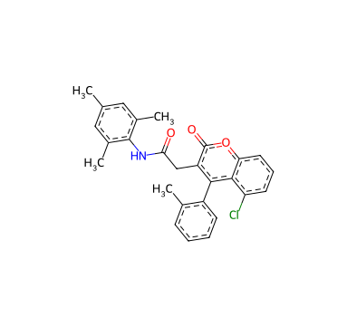 Cc1cc(C)c(NC(=O)Cc2c(-c3ccccc3C)c3c(Cl)cccc3oc2=O)c(C)c1